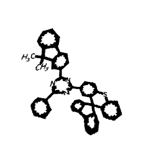 CC1(C)c2ccccc2-c2ccc(-c3nc(-c4ccccc4)nc(-c4ccc5c(c4)C4(c6ccccc6S5)c5ccccc5-c5ccccc54)n3)cc21